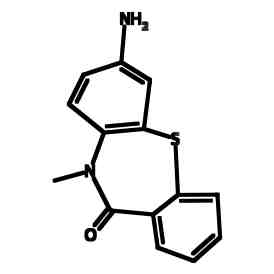 CN1C(=O)c2ccccc2Sc2cc(N)ccc21